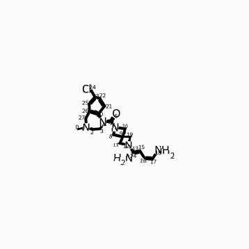 CN1CCN(C(=O)N2CC3(C2)CN(/C(N)=C/C=C\N)C3)c2ccc(Cl)cc2C1